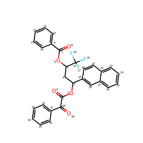 O=C(OC(CC(OC(=O)c1ccccc1)C(F)(F)F)c1ccc2ccccc2c1)C(=O)c1ccccc1